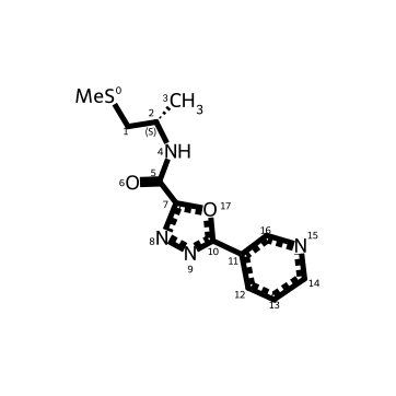 CSC[C@H](C)NC(=O)c1nnc(-c2cccnc2)o1